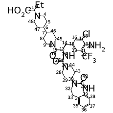 CCC(C(=O)O)N1CCC(C2CCN(C(=O)[C@@H](Cc3cc(Cl)c(N)c(C(F)(F)F)c3)NC(=O)N3CCC(N4CCc5ccccc5NC4=O)CC3)CC2)CC1